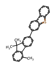 Cc1cccc2c1-c1ccc(-c3ccc4c(c3)sc3ccccc34)cc1C2(C)C